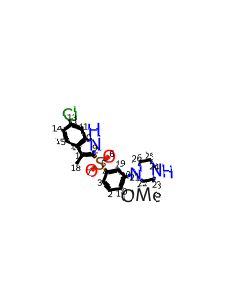 COc1ccc(S(=O)(=O)c2[nH]c3cc(Cl)ccc3c2C)cc1N1CCNCC1